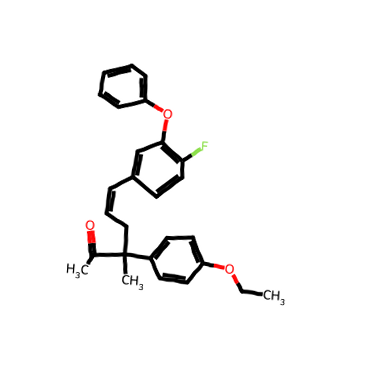 CCOc1ccc(C(C)(C/C=C\c2ccc(F)c(Oc3ccccc3)c2)C(C)=O)cc1